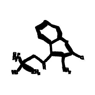 CC(C)(O)CNc1c(N)c(Cl)nc2ccccc12